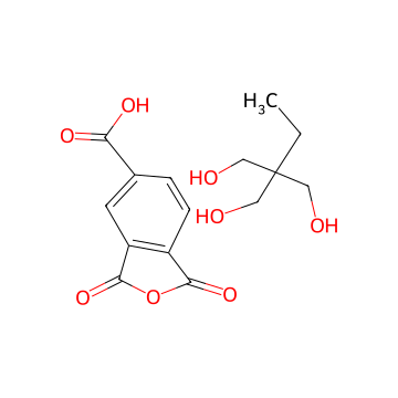 CCC(CO)(CO)CO.O=C(O)c1ccc2c(c1)C(=O)OC2=O